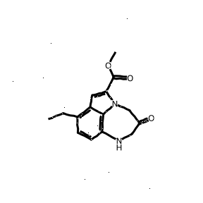 CCc1ccc2c3c1cc(C(=O)OC)n3CC(=O)CN2